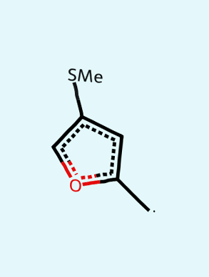 [CH2]c1cc(SC)co1